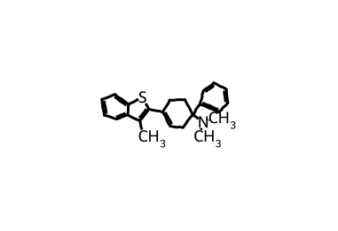 Cc1c(C2=CCC(c3ccccc3)(N(C)C)CC2)sc2ccccc12